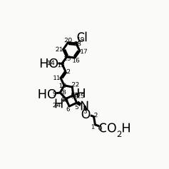 O=C(O)CCON=C1C[C@H]2C(O)C(C=CC(O)c3ccc(Cl)cc3)C[C@H]12